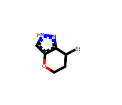 CCC1CCOc2c[nH]nc21